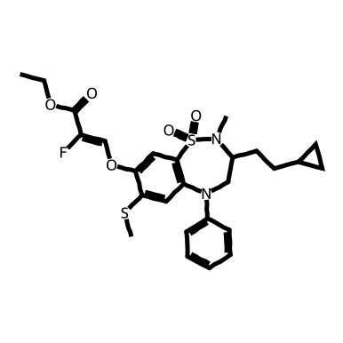 CCOC(=O)/C(F)=C/Oc1cc2c(cc1SC)N(c1ccccc1)CC(CCC1CC1)N(C)S2(=O)=O